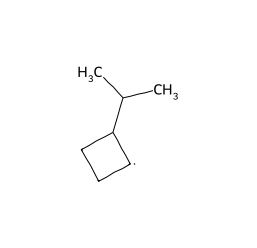 CC(C)C1[CH]CC1